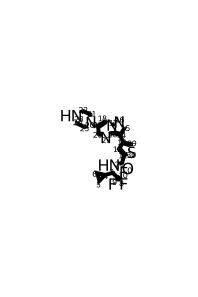 O=C(NC(C1CC1)C(F)(F)F)c1cc(-c2cnn3cc(N4CCNCC4)cnc23)cs1